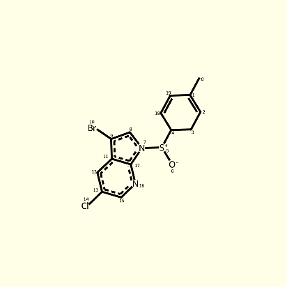 CC1=CCC([S+]([O-])n2cc(Br)c3cc(Cl)cnc32)C=C1